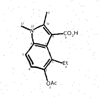 CCc1c(OC(C)=O)ccc2c1c(C(=O)O)c(C)n2C